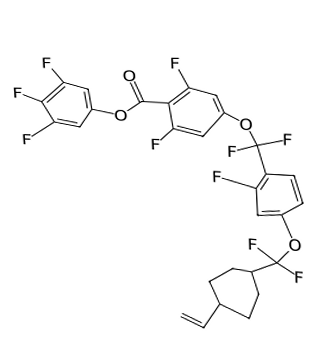 C=CC1CCC(C(F)(F)Oc2ccc(C(F)(F)Oc3cc(F)c(C(=O)Oc4cc(F)c(F)c(F)c4)c(F)c3)c(F)c2)CC1